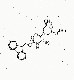 C=CCN(CC(=O)OC(C)(C)C)C(=O)[C@@H](NC(=O)OCC1c2ccccc2-c2ccccc21)C(C)C